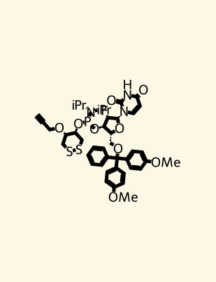 C#CCO[C@@H]1CSSC[C@@H]1OP(O[C@H]1[C@@H](F)[C@H](n2ccc(=O)[nH]c2=O)O[C@@H]1COC(c1ccccc1)(c1ccc(OC)cc1)c1ccc(OC)cc1)N(C(C)C)C(C)C